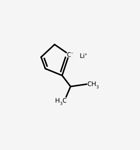 CC(C)C1=[C-]CC=C1.[Li+]